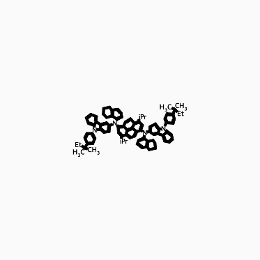 CCC(C)(C)c1ccc(-n2c3ccccc3c3cc(N(c4cccc5c4CCCC5)c4cc(C(C)C)c5ccc6c(N(c7ccc8c(c7)c7ccccc7n8-c7ccc(C(C)(C)CC)cc7)c7cccc8c7CCCC8)cc(C(C)C)c7ccc4c5c76)ccc32)cc1